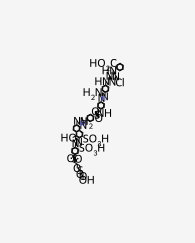 Nc1cc(Nc2nc(Cl)nc(Nc3ccccc3C(=O)O)n2)ccc1/N=N/c1ccc(NS(=O)(=O)c2ccc(/N=N/c3c(N)ccc4c(O)c(N=Nc5ccc(S(=O)(=O)CCOSOOO)cc5S(=O)(=O)O)c(S(=O)(=O)O)cc34)cc2)cc1